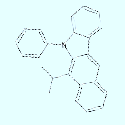 CC(C)c1c2ccccc2cc2c3ccccc3n(-c3ccccc3)c12